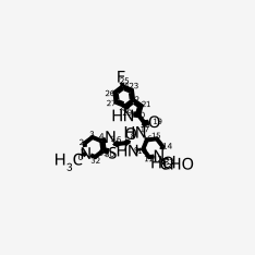 CN1CCc2nc(C(=O)N[C@@H]3CN(C=O)CC[C@@H]3NC(=O)c3cc4cc(F)ccc4[nH]3)sc2C1.Cl